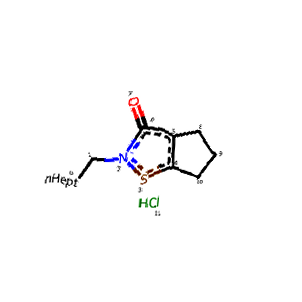 CCCCCCCCn1sc2c(c1=O)CCC2.Cl